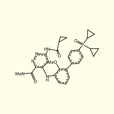 CNC(=O)c1nnc(NC(=O)C2CC2)cc1Nc1cccc(-c2ccc(P(=O)(C3CC3)C3CC3)cc2)c1OC